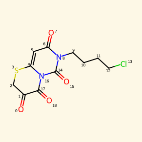 O=C1CSc2cc(=O)n(CCCCCl)c(=O)n2C1=O